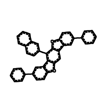 c1ccc(-c2ccc3oc4c(-c5ccc6ccccc6c5)c5c(cc4c3c2)oc2ccc(-c3ccccc3)cc25)cc1